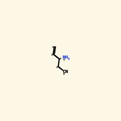 C=CCCC#N.N